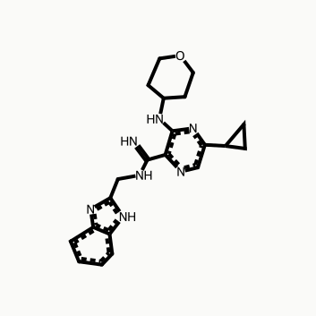 N=C(NCc1nc2ccccc2[nH]1)c1ncc(C2CC2)nc1NC1CCOCC1